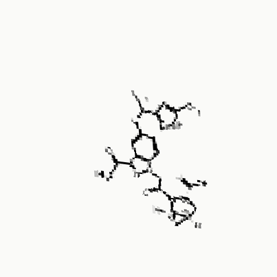 CC(=O)c1nn(CC(=O)N2[C@@H]3C[C@@H]3C[C@H]2C(=O)O)c2ccc(OC(C)c3cc(C)[nH]n3)cc12